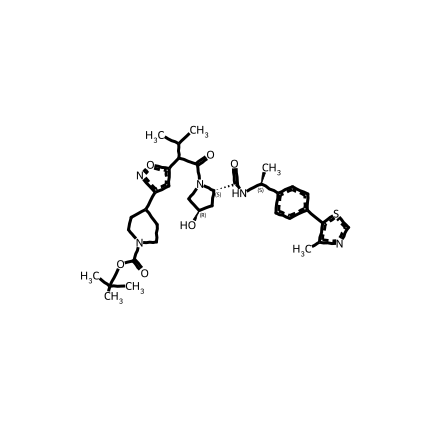 Cc1ncsc1-c1ccc([C@H](C)NC(=O)[C@@H]2C[C@@H](O)CN2C(=O)C(c2cc(C3CCN(C(=O)OC(C)(C)C)CC3)no2)C(C)C)cc1